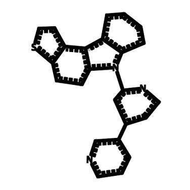 c1cncc(-c2ccnc(-n3c4ccccc4c4c5ccsc5ccc43)c2)c1